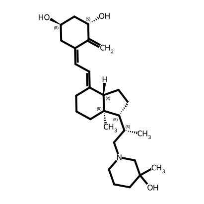 C=C1C(=CC=C2CCC[C@]3(C)[C@@H]([C@H](C)CN4CCCC(C)(O)C4)CC[C@@H]23)C[C@@H](O)C[C@@H]1O